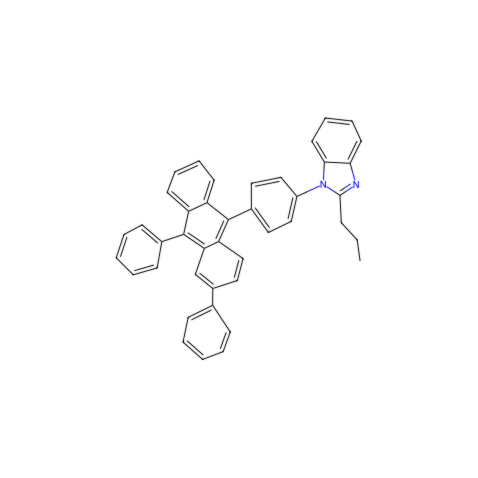 CCCc1nc2ccccc2n1-c1ccc(-c2c3ccccc3c(-c3ccccc3)c3cc(-c4ccccc4)ccc23)cc1